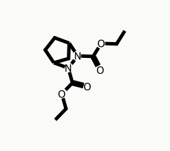 CCOC(=O)N1C2CCC(C2)N1C(=O)OCC